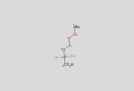 CCCCOCCOC(F)(F)C(=O)O